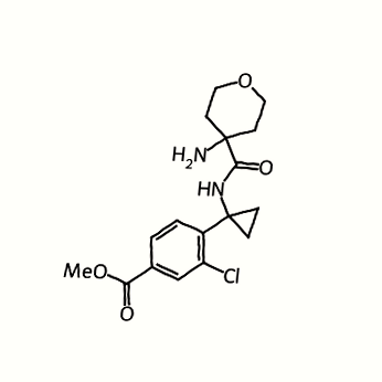 COC(=O)c1ccc(C2(NC(=O)C3(N)CCOCC3)CC2)c(Cl)c1